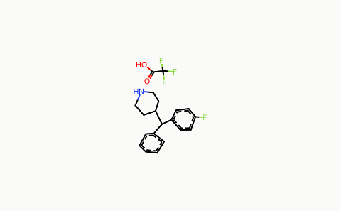 Fc1ccc(C(c2ccccc2)C2CCNCC2)cc1.O=C(O)C(F)(F)F